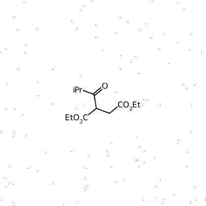 CCOC(=O)CC(C(=O)OCC)C(=O)C(C)C